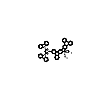 CC1(C)c2cc3c4ccccc4c4ccccc4c3cc2-c2cc3c4ccc(-c5nc(-n6c7ccccc7c7ccccc76)cc(-n6c7ccccc7c7ccccc76)n5)cc4c4ccccc4c3cc21